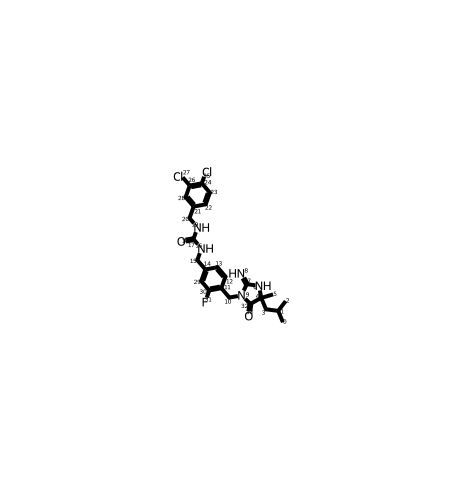 CC(C)CC1(C)NC(=N)N(Cc2ccc(CNC(=O)NCc3ccc(Cl)c(Cl)c3)cc2F)C1=O